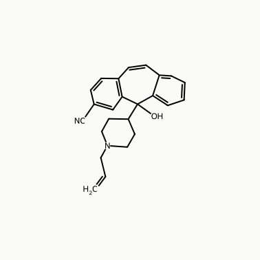 C=CCN1CCC(C2(O)c3ccccc3C=Cc3ccc(C#N)cc32)CC1